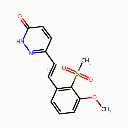 COc1cccc(/C=C/c2ccc(=O)[nH]n2)c1S(C)(=O)=O